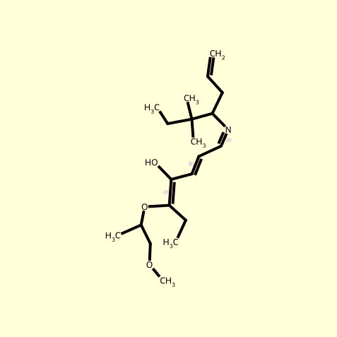 C=CCC(\N=C/C=C/C(O)=C(\CC)OC(C)COC)C(C)(C)CC